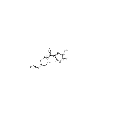 NCC1CCN(C(=O)c2ccc(F)c(F)c2)CC1